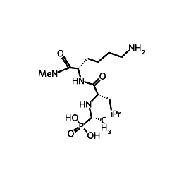 CNC(=O)[C@H](CCCCN)NC(=O)[C@H](CC(C)C)N[C@H](C)P(=O)(O)O